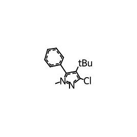 Cn1nc(Cl)c(C(C)(C)C)c1-c1ccccc1